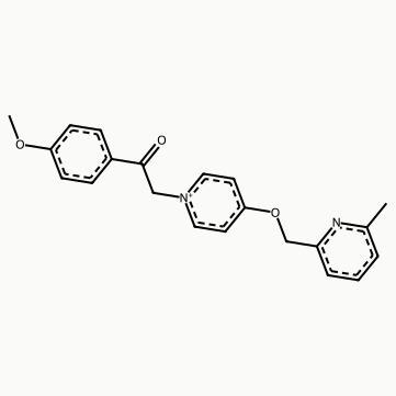 COc1ccc(C(=O)C[n+]2ccc(OCc3cccc(C)n3)cc2)cc1